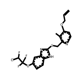 C=CCOc1ccnc(CSc2nc3cc(OC(F)(F)C(F)Cl)ccc3[nH]2)c1C